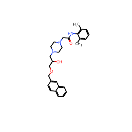 Cc1cccc(C)c1NC(=O)CN1CCN(CC(O)COCc2ccc3ccccc3c2)CC1